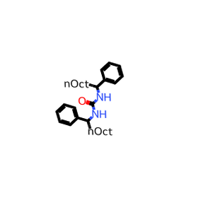 CCCCCCCCC(NC(=O)NC(CCCCCCCC)c1ccccc1)c1ccccc1